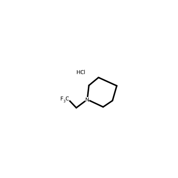 Cl.FC(F)(F)CN1CCCCC1